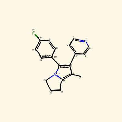 Cc1c(-c2ccncc2)c(-c2ccc(F)cc2)n2c1CCC2